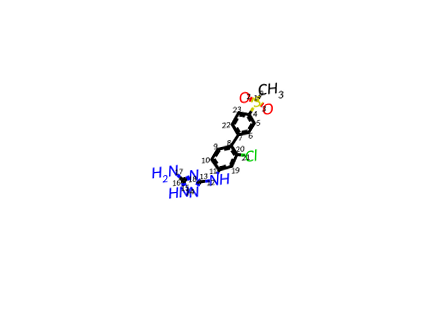 CS(=O)(=O)c1ccc(-c2ccc(Nc3n[nH]c(N)n3)cc2Cl)cc1